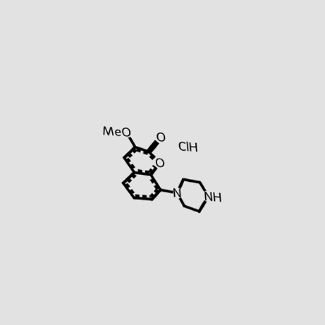 COc1cc2cccc(N3CCNCC3)c2oc1=O.Cl